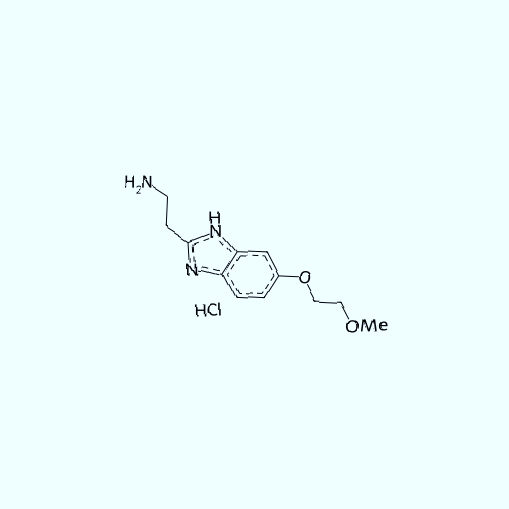 COCCOc1ccc2nc(CCN)[nH]c2c1.Cl